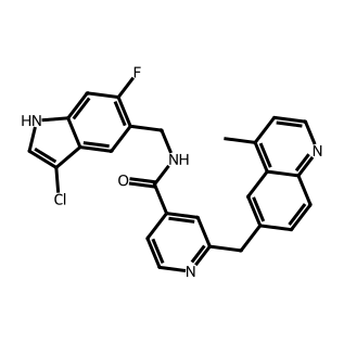 Cc1ccnc2ccc(Cc3cc(C(=O)NCc4cc5c(Cl)c[nH]c5cc4F)ccn3)cc12